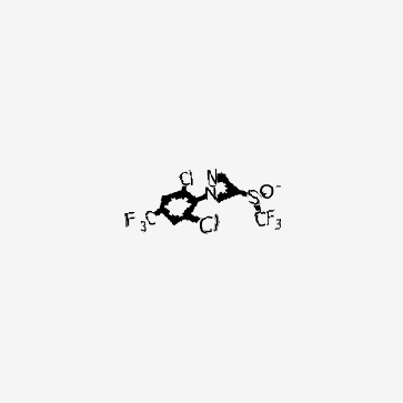 [O-][S+](c1cnn(-c2c(Cl)cc(C(F)(F)F)cc2Cl)c1)C(F)(F)F